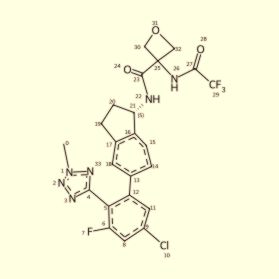 Cn1nnc(-c2c(F)cc(Cl)cc2-c2ccc3c(c2)CC[C@@H]3NC(=O)C2(NC(=O)C(F)(F)F)COC2)n1